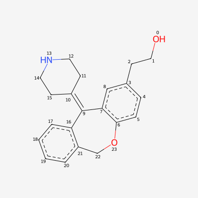 OCCc1ccc2c(c1)C(=C1CCNCC1)c1ccccc1CO2